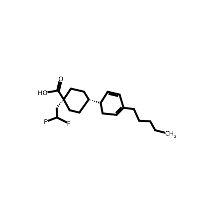 CCCCCC1=CCC([C@H]2CC[C@](CC(F)F)(C(=O)O)CC2)C=C1